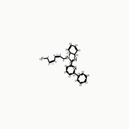 FC/C=C\C=C/CN1C(c2cccc(-c3ccccc3)n2)=NC2C=CC=CC21